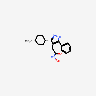 O=C(Cc1c(-c2ccccc2)[nH]nc1[C@H]1CC[C@@H](C(=O)O)CC1)NO